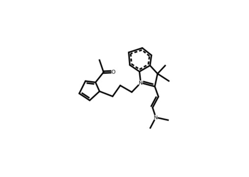 CC(=O)C1=CC=CC1CCC[N+]1=C(/C=C/N(C)C)C(C)(C)c2ccccc21